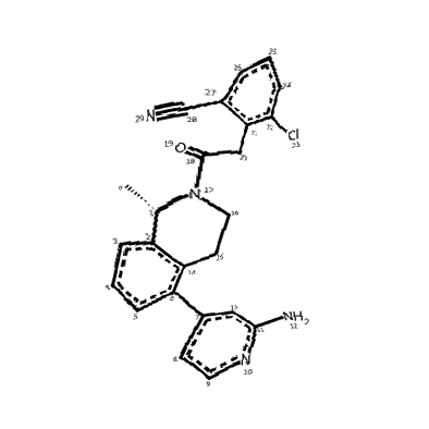 C[C@H]1c2cccc(-c3ccnc(N)c3)c2CCN1C(=O)Cc1c(Cl)cccc1C#N